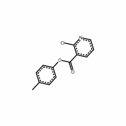 Cc1ccc(OC(=O)c2cccnc2Cl)cc1